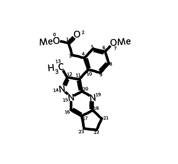 COC(=O)Cc1cc(OC)ccc1-c1c(C)nn2cc3c(nc12)CCC3